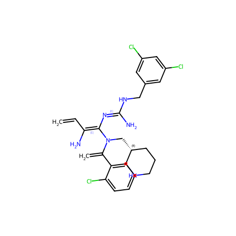 C=C/C(N)=C(\N=C(/N)NCc1cc(Cl)cc(Cl)c1)N(C[C@@H]1CCCNC1)C(=C)c1ccccc1Cl